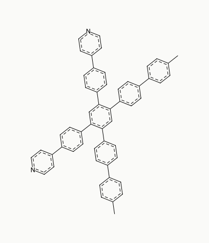 Cc1ccc(-c2ccc(-c3cc(-c4ccc(-c5ccc(C)cc5)cc4)c(-c4ccc(-c5ccncc5)cc4)cc3-c3ccc(-c4ccncc4)cc3)cc2)cc1